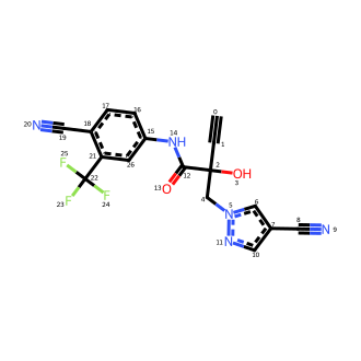 C#CC(O)(Cn1cc(C#N)cn1)C(=O)Nc1ccc(C#N)c(C(F)(F)F)c1